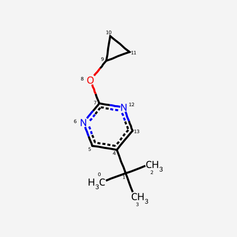 CC(C)(C)c1cnc(OC2CC2)nc1